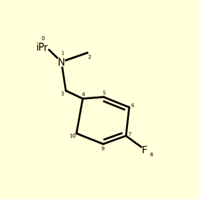 CC(C)N(C)CC1C=CC(F)=CC1